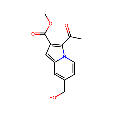 COC(=O)c1cc2cc(CO)ccn2c1C(C)=O